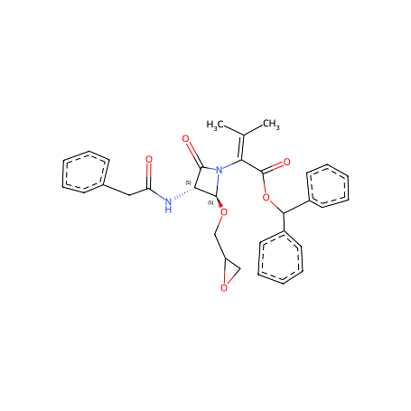 CC(C)=C(C(=O)OC(c1ccccc1)c1ccccc1)N1C(=O)[C@@H](NC(=O)Cc2ccccc2)[C@@H]1OCC1CO1